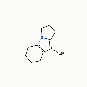 CC(C)(C)c1c2c(n3c1CCC3)CCCC2